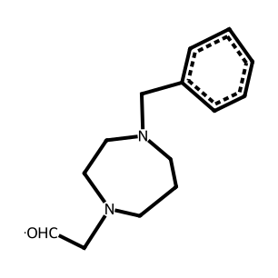 O=[C]CN1CCCN(Cc2ccccc2)CC1